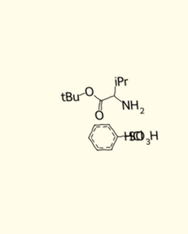 CC(C)C(N)C(=O)OC(C)(C)C.Cl.O=S(=O)(O)c1ccccc1